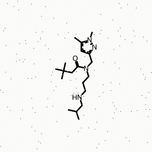 Cc1cc(CN(CCCNCC(C)C)C(=O)CC(C)(C)C)nn1C